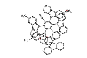 Cc1ccc2c(c1)c1ccccc1n2-c1c(C#N)c(-n2c3ccccc3c3cc(C)ccc32)c(-n2c3ccccc3c3cc(C)ccc32)c(-c2cccc3c2-c2ccccc2C32c3ccccc3-c3ccncc32)c1-n1c2ccccc2c2cc(C)ccc21